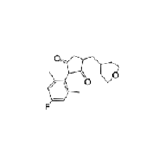 Cc1cc(F)cc(C)c1C1C(=O)CC(CC2CCOCC2)C1=O